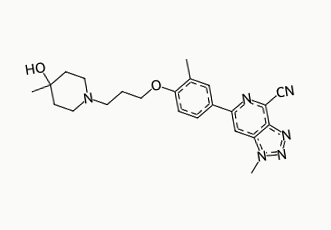 Cc1cc(-c2cc3c(nnn3C)c(C#N)n2)ccc1OCCCN1CCC(C)(O)CC1